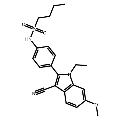 CCCCS(=O)(=O)Nc1ccc(-c2c(C#N)c3ccc(OC)cc3n2CC)cc1